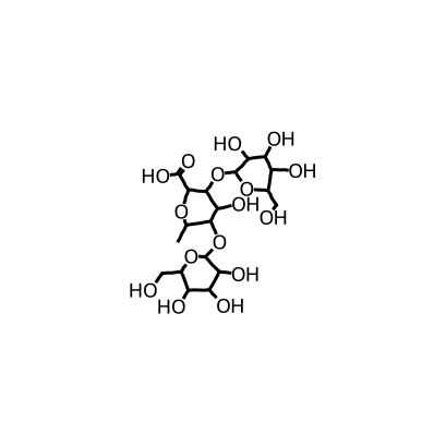 CC1OC(C(=O)O)C(OC2OC(CO)C(O)C(O)C2O)C(O)C1OC1OC(CO)C(O)C(O)C1O